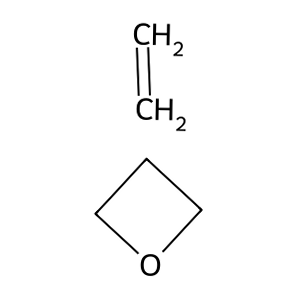 C1COC1.C=C